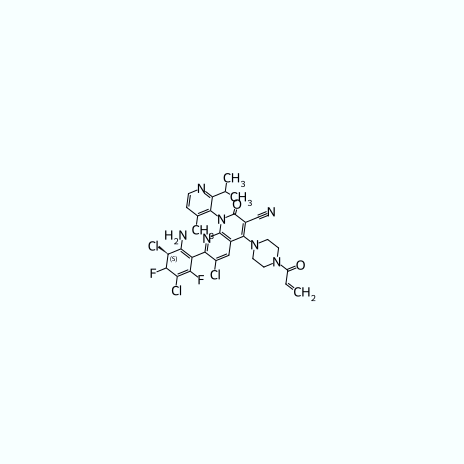 C=CC(=O)N1CCN(c2c(C#N)c(=O)n(-c3c(C)ccnc3C(C)C)c3nc(C4=C(N)[C@H](Cl)C(F)C(Cl)=C4F)c(Cl)cc23)CC1